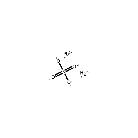 O=S(=O)([O-])[O-].[Hg+].[Pb+2]